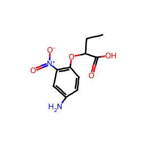 CCC(Oc1ccc(N)cc1[N+](=O)[O-])C(=O)O